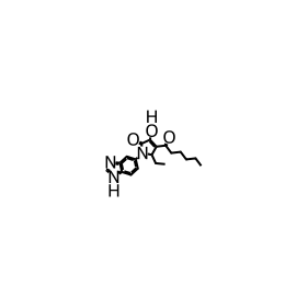 CCCCCC(=O)C1=C(O)C(=O)N(c2ccc3[nH]cnc3c2)C1CC